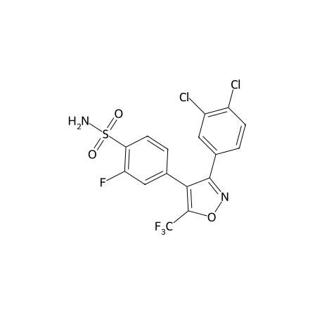 NS(=O)(=O)c1ccc(-c2c(-c3ccc(Cl)c(Cl)c3)noc2C(F)(F)F)cc1F